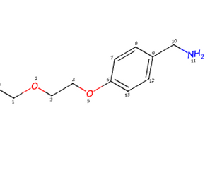 CCOCCOc1ccc(CN)cc1